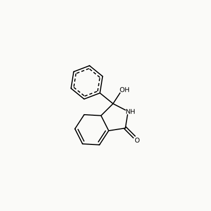 O=C1NC(O)(c2ccccc2)C2CC=CC=C12